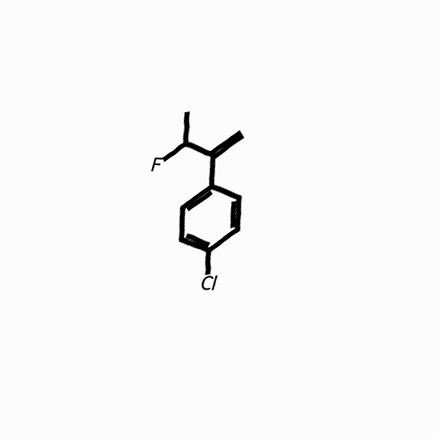 C=C(c1ccc(Cl)cc1)C(C)F